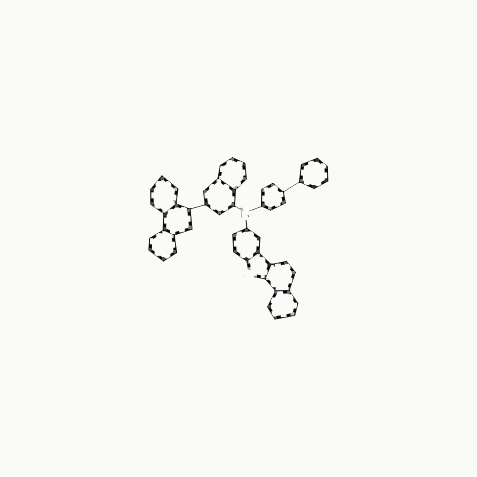 c1ccc(-c2ccc(N(c3ccc4oc5c6ccccc6ccc5c4c3)c3cc(-c4cc5ccccc5c5ccccc45)cc4ccccc34)cc2)cc1